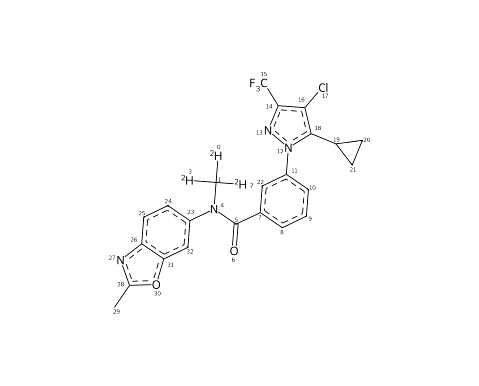 [2H]C([2H])([2H])N(C(=O)c1cccc(-n2nc(C(F)(F)F)c(Cl)c2C2CC2)c1)c1ccc2nc(C)oc2c1